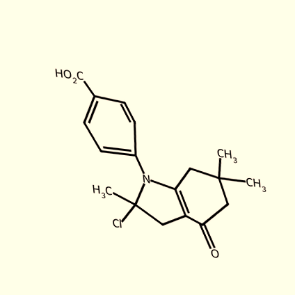 CC1(C)CC(=O)C2=C(C1)N(c1ccc(C(=O)O)cc1)C(C)(Cl)C2